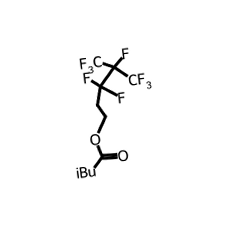 CCC(C)C(=O)OCCC(F)(F)C(F)(C(F)(F)F)C(F)(F)F